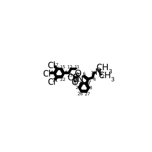 CN(C)CCc1cn(P2(=O)OCCC(c3cc(Cl)c(Cl)c(Cl)c3)O2)c2ccccc12